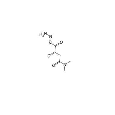 CN(C)C(=O)CC(=O)C(=O)N=NN